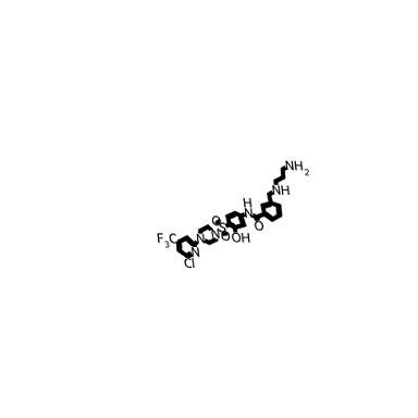 NCCCNCc1cccc(C(=O)Nc2ccc(S(=O)(=O)N3CCN(c4cc(C(F)(F)F)cc(Cl)n4)CC3)c(O)c2)c1